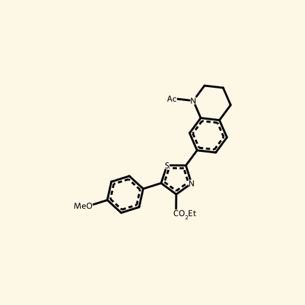 CCOC(=O)c1nc(-c2ccc3c(c2)N(C(C)=O)CCC3)sc1-c1ccc(OC)cc1